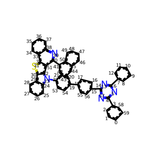 c1ccc(-c2nc(-c3ccccc3)nc(-c3ccc(-c4ccc(-n5c6ccccc6c6sc7c8ccccc8nc(-c8cccc9ccccc89)c7c65)cc4)cc3)n2)cc1